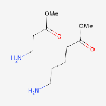 COC(=O)CCCCN.COC(=O)CCN